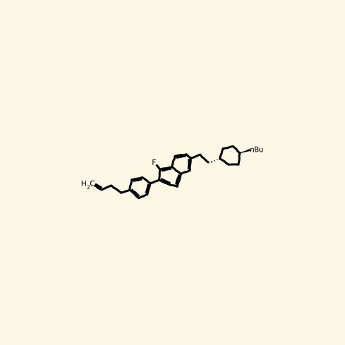 C=CCCc1ccc(-c2ccc3cc(CC[C@H]4CC[C@H](CCCC)CC4)ccc3c2F)cc1